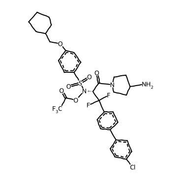 NC1CCN(C(=O)[C@@H](N(OC(=O)C(F)(F)F)S(=O)(=O)c2ccc(OCC3CCCCC3)cc2)C(F)(F)c2ccc(-c3ccc(Cl)cc3)cc2)CC1